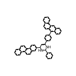 C1=C(c2ccc(-c3c4ccccc4cc4c3ccc3ccccc34)cc2)NC(c2ccccc2)NC1c1ccc2c(ccc3c4ccccc4ccc23)c1